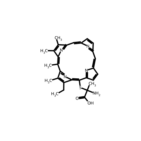 CCC1=C(C)C2=NC1=C(SC(C)(N)C(=O)O)C1=NC(=CC3=NC(=CC4=NC(=C2C)C(C)=C4C)C=C3)C=C1